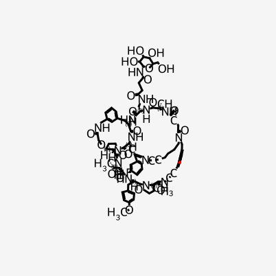 COc1ccc(C[C@@H]2NC(=O)[C@H]([C@@H](C)O)NC(=O)[C@@H]3[C@@H]4CCN3C(=O)[C@@H]3Cc5cn(c6ccc(F)cc56)CCCCCCN(Cc5ccc(cc5)CCNC(=O)[C@]5(C)CCCN5C2=O)C(=O)CCC(=O)N[C@@H](C)C(=O)N[C@H](CNC(=O)CCC(=O)NC2OC(CO)C(O)C(O)C2O)C(=O)N[C@@H](Cc2cccc(c2)CNC(=O)CO4)C(=O)N3)cc1